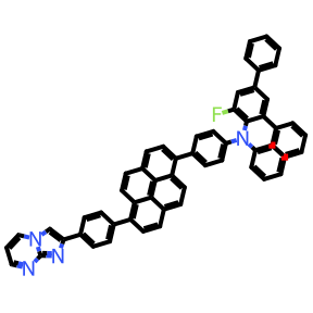 Fc1cc(-c2ccccc2)cc(-c2ccccc2)c1N(c1ccccc1)c1ccc(-c2ccc3ccc4c(-c5ccc(-c6cn7cccnc7n6)cc5)ccc5ccc2c3c54)cc1